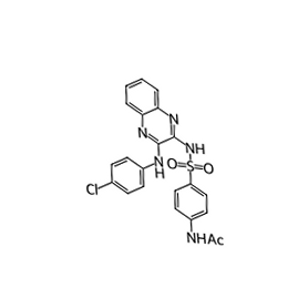 CC(=O)Nc1ccc(S(=O)(=O)Nc2nc3ccccc3nc2Nc2ccc(Cl)cc2)cc1